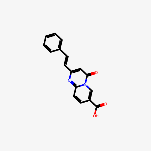 O=C(O)c1ccc2nc(C=Cc3ccccc3)cc(=O)n2c1